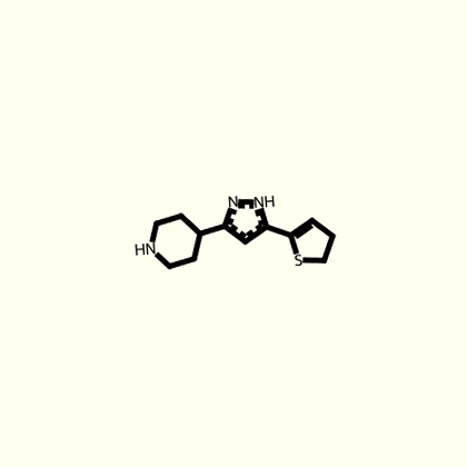 C1=C(c2cc(C3CCNCC3)n[nH]2)SCC1